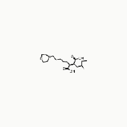 CCC(C)CC(C(=O)O)=C(CCCCCN1CCOCC1)C(=O)O